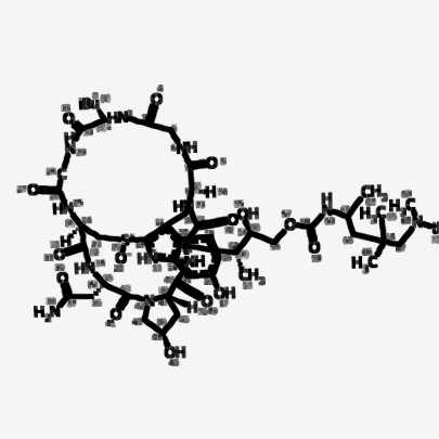 CC[C@H](C)[C@@H]1NC(=O)CNC(=O)[C@@H]2Cc3c([nH]c4cc(O)ccc34)[S+]([O-])C[C@H](NC(=O)CNC1=O)C(=O)N[C@@H](CC(N)=O)C(=O)N1C[C@H](O)C[C@H]1C(=O)N[C@@H]([C@@H](C)[C@@H](O)COC(=O)NC(C)CC(C)(C)CN(C)C(C)(C)C)C(=O)N2